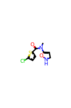 CN(C(=O)c1ccc(Cl)s1)C1=CCNO1